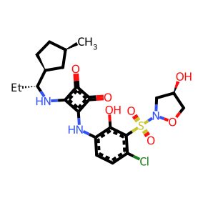 CC[C@@H](Nc1c(Nc2ccc(Cl)c(S(=O)(=O)N3C[C@@H](O)CO3)c2O)c(=O)c1=O)[C@H]1CC[C@@H](C)C1